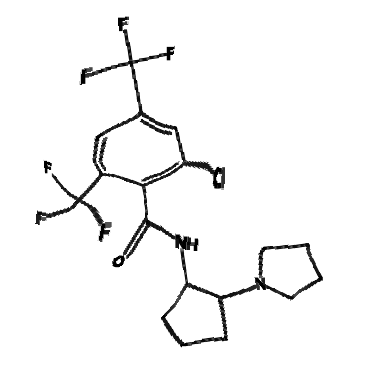 O=C(NC1CCCC1N1CCCC1)c1c(Cl)cc(C(F)(F)F)cc1C(F)(F)F